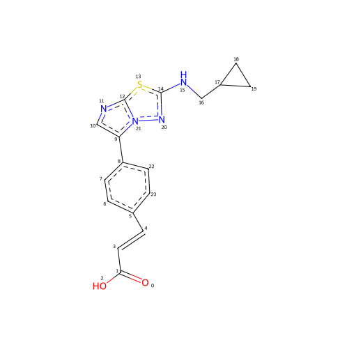 O=C(O)/C=C/c1ccc(-c2cnc3sc(NCC4CC4)nn23)cc1